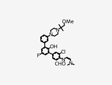 COCC(C)(C)N1CCN(c2cccc(-c3cc(F)cc(-c4ccc(N(C=O)/C=C\N(C)C)c(Cl)c4)c3O)c2)CC1